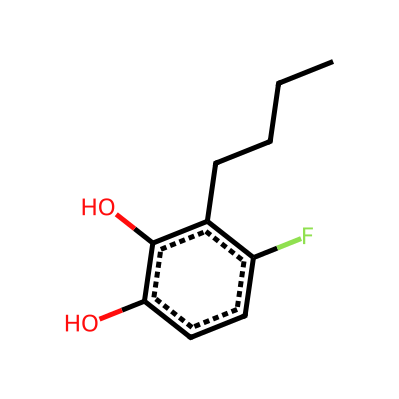 CCCCc1c(F)ccc(O)c1O